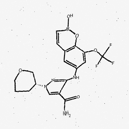 NC(=O)c1cn([C@@H]2CCCOC2)nc1Nc1cc2c(c(OC(F)(F)F)c1)OB(O)C=C2